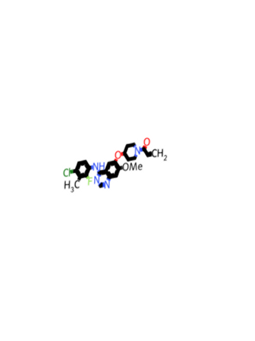 C=CC(=O)N1CCC(Oc2cc3c(Nc4ccc(Cl)c(C)c4F)ncnc3cc2OC)CC1